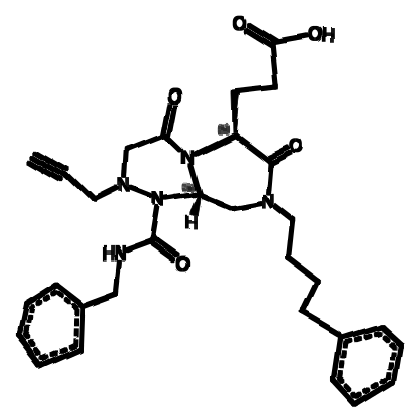 C#CCN1CC(=O)N2[C@@H](CCC(=O)O)C(=O)N(CCCCc3ccccc3)C[C@@H]2N1C(=O)NCc1ccccc1